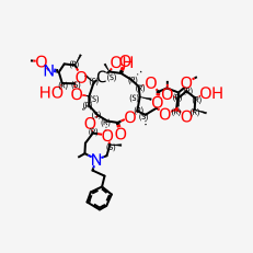 CON=C1C[C@@H](C)O[C@@H](O[C@@H]2[C@@H](C)[C@H](O[C@H]3CC(C)N(CCc4ccccc4)C[C@H](C)O3)[C@@H](C)C(=O)O[C@H]([C@@H](C)CO[C@@H]3O[C@H](C)[C@@H](O)[C@@H](OC)[C@H]3OC)[C@H](C)[C@@H](OC(=O)CC(C)C)[C@@H](C)C(=O)[C@@](C)(O)C[C@@H]2C)[C@@H]1O